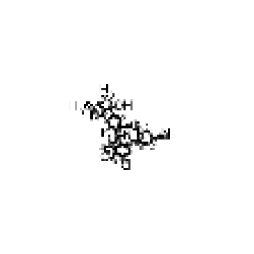 CCC(O)(c1cc(F)c2c(c1)C(=O)N(Cc1ccc(C#N)cn1)[C@@]2(O[C@H]1CCOC1)c1ccc(Cl)cc1)c1cnn(C)c1